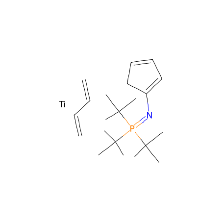 C=CC=C.CC(C)(C)P(=NC1=CC=CC1)(C(C)(C)C)C(C)(C)C.[Ti]